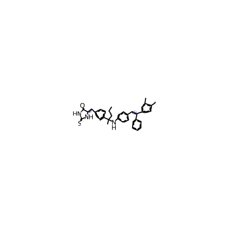 CCCC(C)(Nc1ccc(/C=C(\c2ccccc2)c2ccc(C)c(C)c2)cc1)c1ccc(/C=C2\NC(=S)NC2=O)cc1